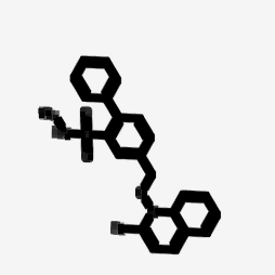 CCC1=CC=C2C=CC=CC2N1OCc1ccc(-c2ccccc2)c(S(=O)(=O)NC(C)(C)C)c1